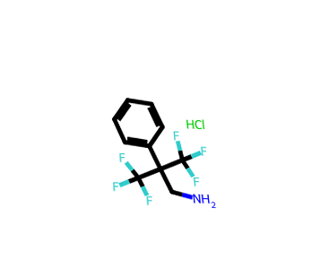 Cl.NCC(c1ccccc1)(C(F)(F)F)C(F)(F)F